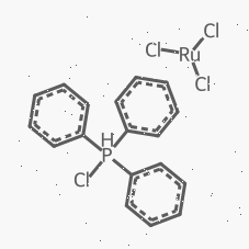 Cl[PH](c1ccccc1)(c1ccccc1)c1ccccc1.[Cl][Ru]([Cl])[Cl]